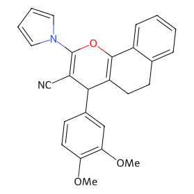 COc1ccc(C2C(C#N)=C(n3cccc3)OC3=C2CCc2ccccc23)cc1OC